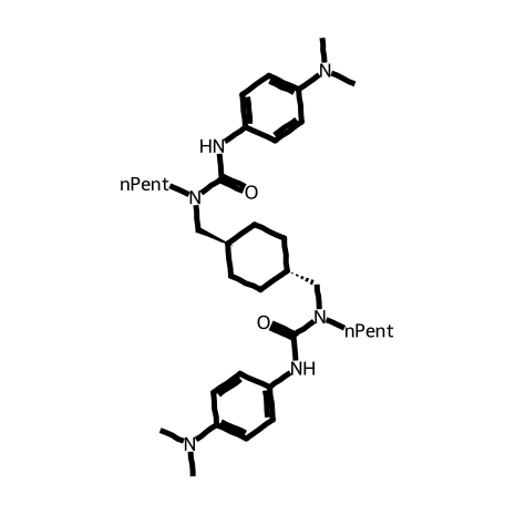 CCCCCN(C[C@H]1CC[C@H](CN(CCCCC)C(=O)Nc2ccc(N(C)C)cc2)CC1)C(=O)Nc1ccc(N(C)C)cc1